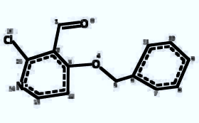 O=Cc1c(OCc2ccccc2)ccnc1Cl